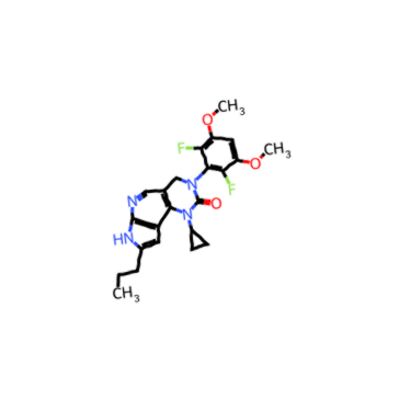 CCCc1cc2c3c(cnc2[nH]1)CN(c1c(F)c(OC)cc(OC)c1F)C(=O)N3C1CC1